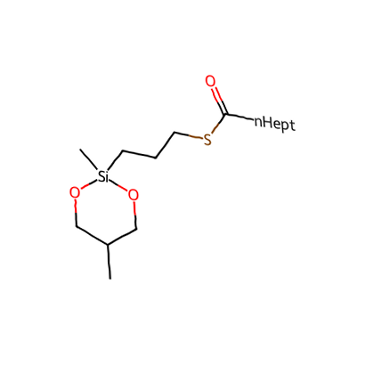 CCCCCCCC(=O)SCCC[Si]1(C)OCC(C)CO1